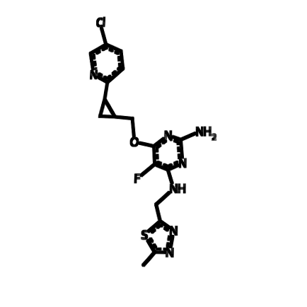 Cc1nnc(CNc2nc(N)nc(OCC3CC3c3ccc(Cl)cn3)c2F)s1